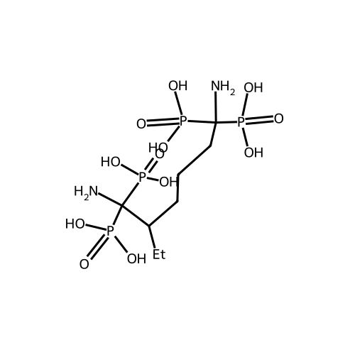 CCC(CCCC(N)(P(=O)(O)O)P(=O)(O)O)C(N)(P(=O)(O)O)P(=O)(O)O